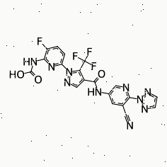 N#Cc1cc(NC(=O)c2cnn(-c3ccc(F)c(NC(=O)O)n3)c2C(F)(F)F)cnc1-n1nccn1